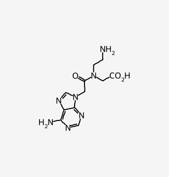 NCCN(CC(=O)O)C(=O)Cn1cnc2c(N)ncnc21